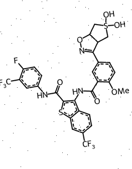 COc1ccc(C2=NOC3CS(O)(O)CC23)cc1C(=O)Nc1c(C(=O)Nc2ccc(F)c(C(F)(F)F)c2)sc2cc(C(F)(F)F)ccc12